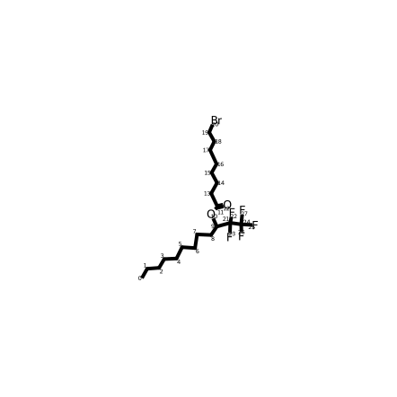 CCCCCCCCCC(OC(=O)CCCCCCCBr)C(F)(F)C(F)(F)F